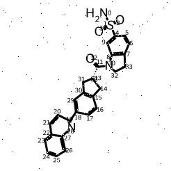 NS(=O)(=O)c1ccc2c(c1)N(C(=O)[C@@H]1Cc3ccc(-c4ccc5ccccc5n4)cc3C1)CC2